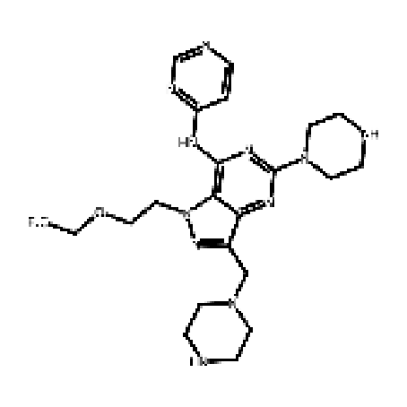 FC(F)(F)COCCn1nc(CN2CCNCC2)c2nc(N3CCNCC3)nc(Nc3ccncn3)c21